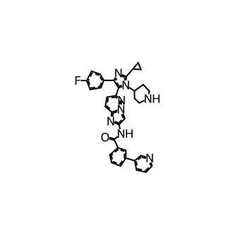 O=C(Nc1cn2nc(-c3c(-c4ccc(F)cc4)nc(C4CC4)n3C3CCNCC3)ccc2n1)c1cccc(-c2cccnc2)c1